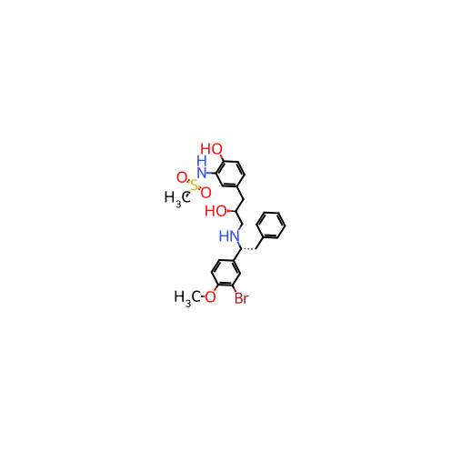 COc1ccc([C@@H](Cc2ccccc2)NC[C@@H](O)Cc2ccc(O)c(NS(C)(=O)=O)c2)cc1Br